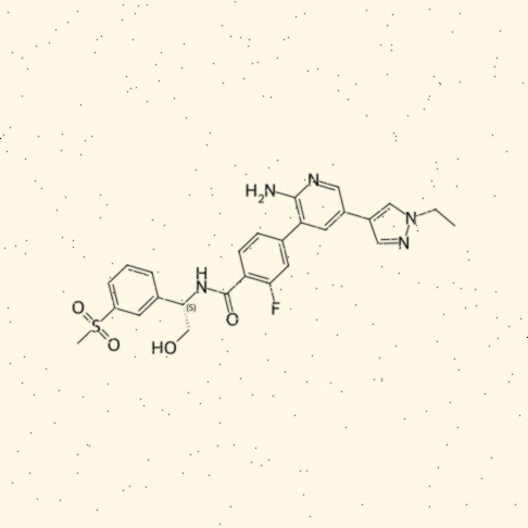 CCn1cc(-c2cnc(N)c(-c3ccc(C(=O)N[C@H](CO)c4cccc(S(C)(=O)=O)c4)c(F)c3)c2)cn1